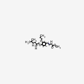 C=CCOc1cc(/C=C/NC(=O)OC)ccc1OCC(O)CNC(C)C